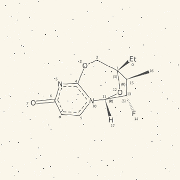 CC[C@]12COc3nc(=O)ccn3[C@H](O1)[C@@H](F)[C@@H]2C